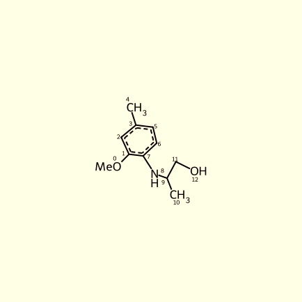 COc1cc(C)ccc1NC(C)CO